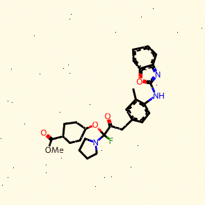 COC(=O)C1CCC(OC(F)(C(=O)Cc2ccc(Nc3nc4ccccc4o3)c(C)c2)N2CCCC2)CC1